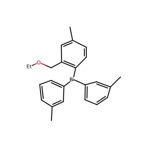 CCOCc1cc(C)cc[c]1[Bi]([c]1cccc(C)c1)[c]1cccc(C)c1